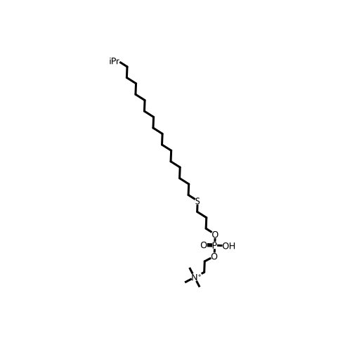 CC(C)CCCCCCCCCCCCCCCCSCCCOP(=O)(O)OCC[N+](C)(C)C